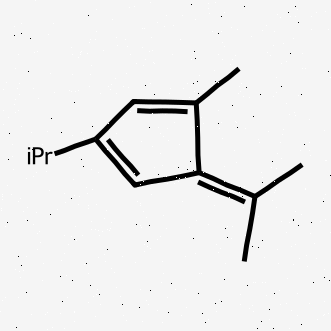 CC1=CC(C(C)C)=CC1=C(C)C